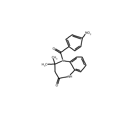 CC1(C)CC(=O)Nc2ccccc2N1C(=O)c1ccc([N+](=O)[O-])cc1